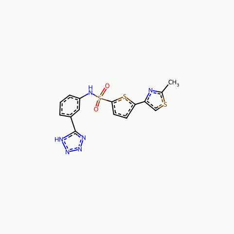 Cc1nc(-c2ccc(S(=O)(=O)Nc3cccc(-c4nnn[nH]4)c3)s2)cs1